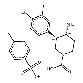 Cc1cc([C@@H]2CN(C(=O)O)CC[C@H]2N)ccc1Cl.Cc1ccc(S(=O)(=O)O)cc1